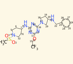 CS(=O)(=O)N1CCC(Nc2nc(OCC(F)(F)F)nc(N3CCC(NCc4ccccc4)C3)n2)CC1